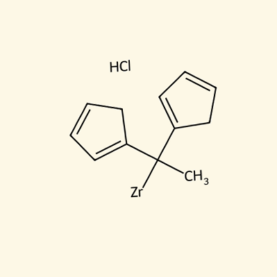 C[C]([Zr])(C1=CC=CC1)C1=CC=CC1.Cl